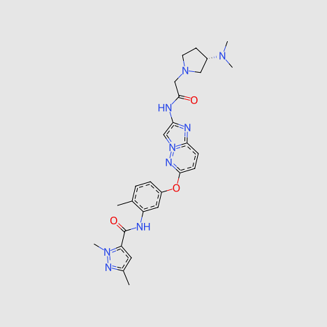 Cc1cc(C(=O)Nc2cc(Oc3ccc4nc(NC(=O)CN5CC[C@H](N(C)C)C5)cn4n3)ccc2C)n(C)n1